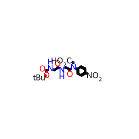 CC(C)(C)OC(=O)NCC(=O)NCC(=O)N(CC(=O)O)c1ccc([N+](=O)[O-])cc1